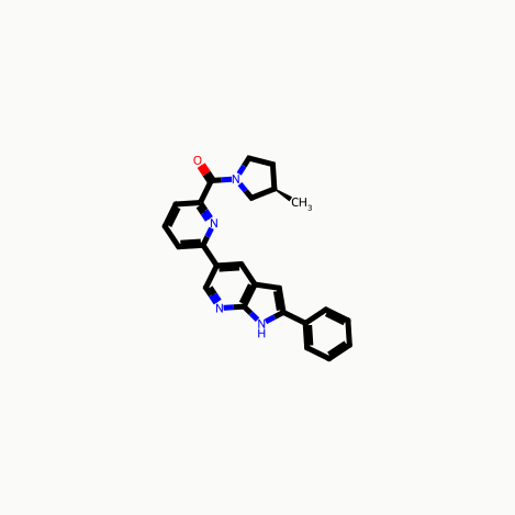 C[C@@H]1CCN(C(=O)c2cccc(-c3cnc4[nH]c(-c5ccccc5)cc4c3)n2)C1